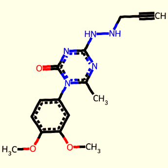 C#CCNNc1nc(C)n(-c2ccc(OC)c(OC)c2)c(=O)n1